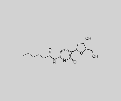 CCCCCC(=O)Nc1ccn([C@H]2C[C@H](O)[C@@H](CO)O2)c(=O)n1